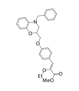 CCOC(=Cc1ccc(OCC2CN(Cc3ccccc3)c3ccccc3O2)cc1)C(=O)OC